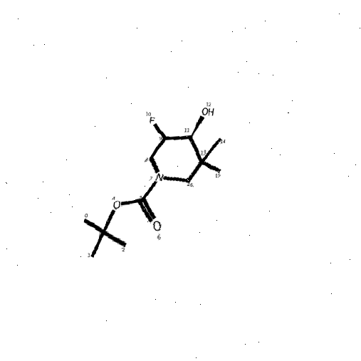 CC(C)(C)OC(=O)N1CC(F)[C@@H](O)C(C)(C)C1